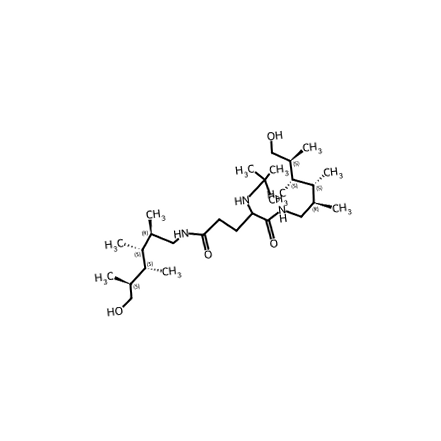 C[C@@H]([C@H](C)[C@@H](C)CNC(=O)CCC(NC(C)(C)C)C(=O)NC[C@H](C)[C@@H](C)[C@H](C)[C@H](C)CO)[C@H](C)CO